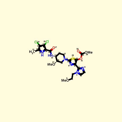 COCCn1ccnc1-c1nc(N2CC[C@@H](NC(=O)c3[nH]c(C)c(Cl)c3Cl)[C@@H](OC)C2)sc1OC(=O)OC